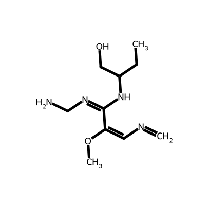 C=N/C=C(OC)\C(=N/CN)NC(CC)CO